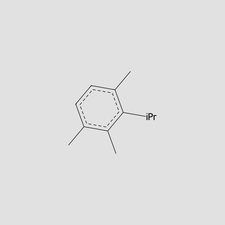 Cc1ccc(C)c(C(C)C)c1C